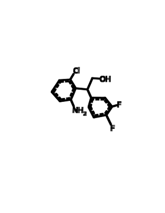 Nc1cccc(Cl)c1C(CO)c1ccc(F)c(F)c1